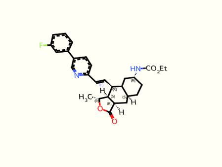 CCOC(=O)N[C@@H]1CC[C@H]2C[C@H]3C(=O)O[C@H](C)[C@H]3[C@@H](/C=C/c3ccc(-c4cccc(F)c4)cn3)C2C1